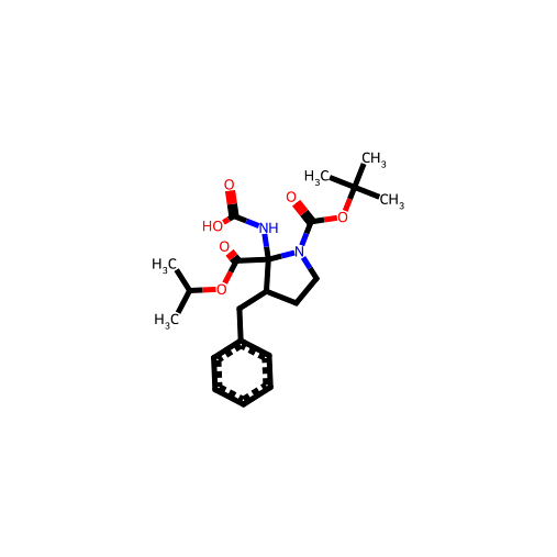 CC(C)OC(=O)C1(NC(=O)O)C(Cc2ccccc2)CCN1C(=O)OC(C)(C)C